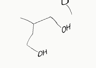 CC(CO)CO.COC